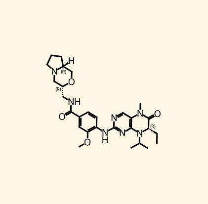 CC[C@@H]1C(=O)N(C)c2cnc(Nc3ccc(C(=O)NC[C@@H]4CN5CCC[C@@H]5CO4)cc3OC)nc2N1C(C)C